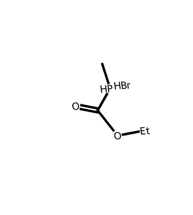 Br.CCOC(=O)PC